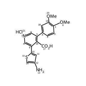 COc1ccc(-c2cncc(-c3cc(N)cs3)c2C(=O)O)cc1OC.Cl